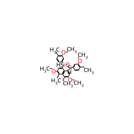 CCOc1cc([SiH](O[SiH](c2ccc(CC)c(OCC)c2)c2ccc(CC)c(OCC)c2)c2ccc(CC)c(OCC)c2)ccc1CC